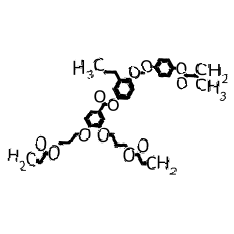 C=CC(=O)OCCCOc1ccc(C(=O)Oc2ccc(OCOc3ccc(OC(=O)C(=C)C)cc3)c(CCC)c2)cc1OCCCOC(=O)C=C